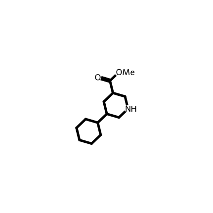 COC(=O)C1CNCC(C2CCCCC2)C1